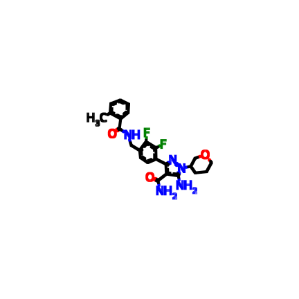 Cc1ccccc1C(=O)NCc1ccc(-c2nn(C3CCCOC3)c(N)c2C(N)=O)c(F)c1F